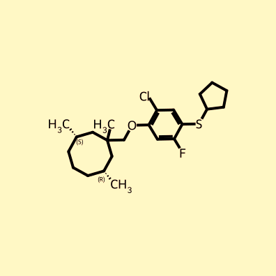 C[C@@H]1CCC[C@H](C)CC(C)(COc2cc(F)c(SC3CCCC3)cc2Cl)C1